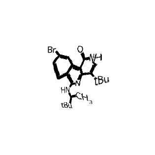 CC(Nc1nc2c(C(C)(C)C)c[nH]c(=O)c2c2cc(Br)ccc12)C(C)(C)C